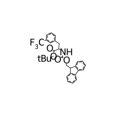 CC(C)(C)OC(=O)C(Cc1cccc(C(F)(F)F)c1)NC(=O)OCC1c2ccccc2-c2ccccc21